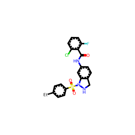 CCc1ccc(S(=O)(=O)N2NCc3ccc(NC(=O)c4c(F)cccc4Cl)cc32)cc1